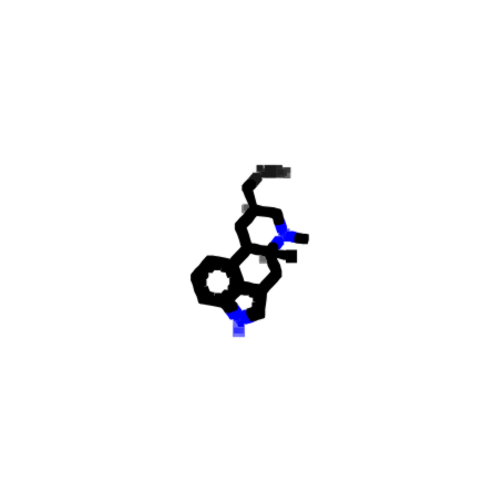 CC(=O)NC[C@@H]1CC2c3cccc4[nH]cc(c34)C[C@H]2N(C)C1